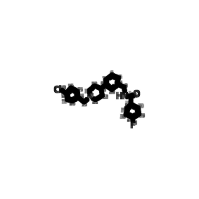 O=C(NCc1cccc(C2CCN(Cc3ccc(Cl)cc3)CC2)c1)c1ccc(F)cc1